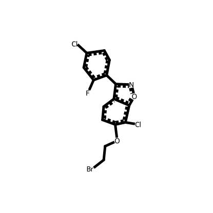 Fc1cc(Cl)ccc1-c1noc2c(Cl)c(OCCBr)ccc12